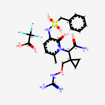 Cc1ccc(NS(=O)(=O)Cc2ccccc2)c(=O)n1C(C(N)=O)C1(CONC(=N)N)CC1.O=C(O)C(F)(F)F